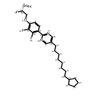 CCCCCC[C@@H](F)COc1ccc(-c2ncc(CCCCCCCCC3CCCC3)cn2)c(F)c1F